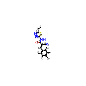 CCc1nnc(NC(=O)/C(C#N)=C/c2c(C)c(C)c(C)c(C)c2C)s1